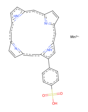 O=S(=O)(O)c1ccc(-c2cc3cc4nc(cc5ccc(cc6nc(cc2[nH]3)C=C6)[nH]5)C=C4)cc1.[Mn+2]